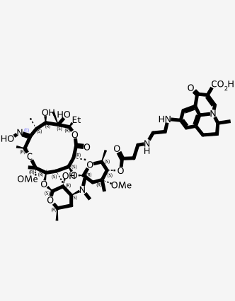 CC[C@H]1OC(=O)[C@H](C)[C@@H](O[C@H]2C[C@@](C)(OC)[C@@H](OC(=O)CCNCCNc3cc4c5c(c3)c(=O)c(C(=O)O)cn5C(C)CC4)[C@H](C)O2)[C@H](C)[C@@H](O[C@@H]2O[C@H](C)C[C@H](N(C)C)[C@H]2O)[C@](C)(OC)C[C@@H](C)/C(=N\O)[C@H](C)[C@@H](O)[C@]1(C)O